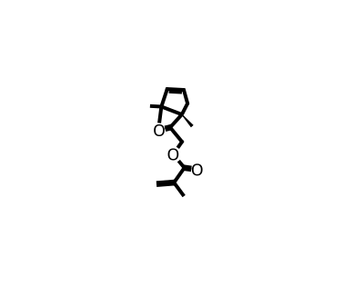 C=C(C)C(=O)OCC(=O)[C@@]1(C)CC=CC1(C)C